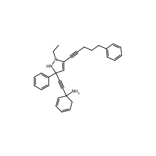 CCN1NC(C#CC2(N)C=CC=CC2)(c2ccccc2)C=C1C#CCCCc1ccccc1